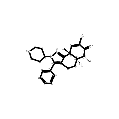 C[C@H]1C(=O)C(C#N)=C[C@@]2(C)c3nn(C4CCOCC4)c(-c4ccccc4)c3CC[C@H]12